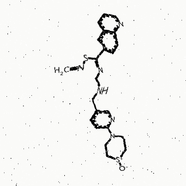 C=NS/C(=N\CNCc1ccc(N2CC[S+]([O-])CC2)nc1)c1ccc2ncccc2c1